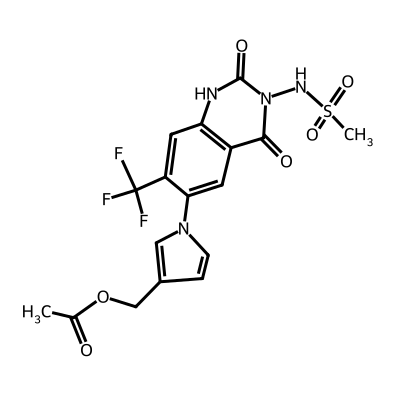 CC(=O)OCc1ccn(-c2cc3c(=O)n(NS(C)(=O)=O)c(=O)[nH]c3cc2C(F)(F)F)c1